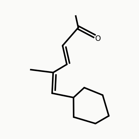 CC(=O)C=CC(C)=CC1CCCCC1